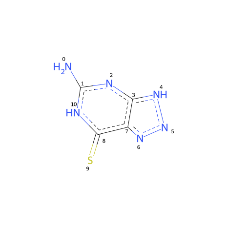 Nc1nc2[nH]nnc2c(=S)[nH]1